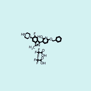 Cn1nc(-c2ccc(OCc3ccccc3)nc2O)c2cc(F)c(N3CCNCC3)cc21.O=C(O)C(F)(F)F.O=C(O)C(F)(F)F